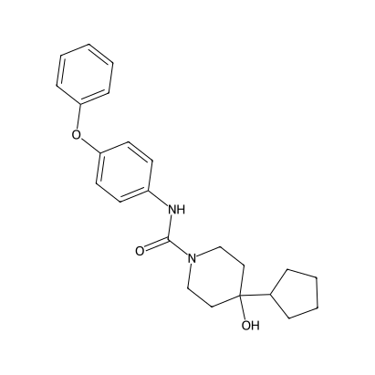 O=C(Nc1ccc(Oc2ccccc2)cc1)N1CCC(O)(C2CCCC2)CC1